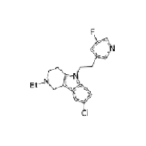 CCN1CCc2c(c3cc(Cl)ccc3n2CCc2cncc(F)c2)C1